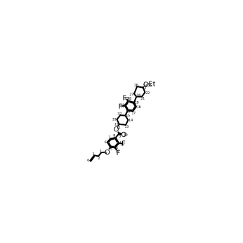 C=CCCOc1ccc(C(=O)OC2CCC(c3ccc(C4CCC(OCC)CC4)c(F)c3F)CC2)c(F)c1F